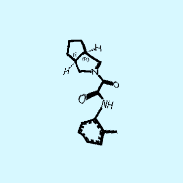 Cc1ccccc1NC(=O)C(=O)N1C[C@H]2CCC[C@H]2C1